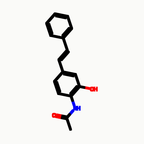 CC(=O)Nc1ccc(/C=C/c2ccccc2)cc1O